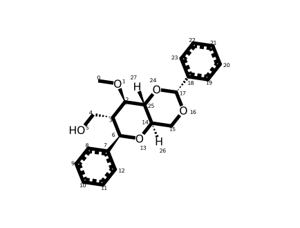 CO[C@@H]1[C@@H](CO)[C@H](c2ccccc2)O[C@@H]2CO[C@@H](c3ccccc3)O[C@@H]12